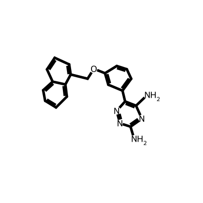 Nc1nnc(-c2cccc(OCc3cccc4ccccc34)c2)c(N)n1